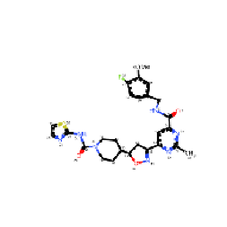 COc1cc(CNC(=O)c2cc(C3=NOC(C4CCN(C(=O)Nc5nccs5)CC4)C3)nc(C)n2)ccc1F